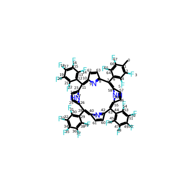 Cc1c(F)c(F)c(-c2c3nc(c(-c4c(F)c(F)c(F)c(F)c4F)c4ccc([nH]4)c(-c4c(F)c(F)c(F)c(F)c4F)c4nc(c(-c5c(F)c(F)c(F)c(F)c5F)c5ccc2[nH]5)C=C4)C=C3)c(F)c1F